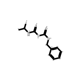 CC(I)NC(=S)OC(=O)OCc1ccccc1